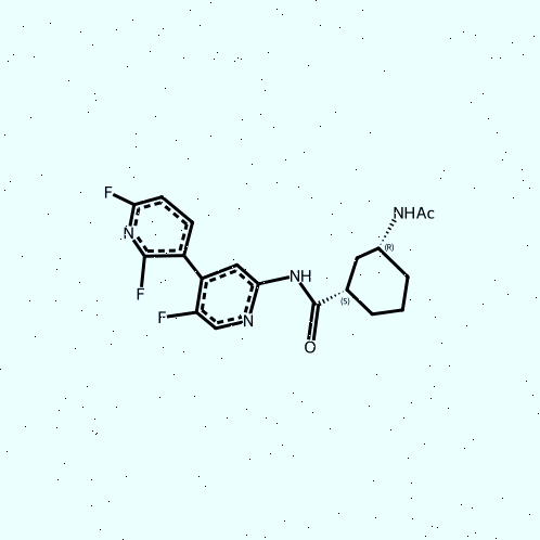 CC(=O)N[C@@H]1CCC[C@H](C(=O)Nc2cc(-c3ccc(F)nc3F)c(F)cn2)C1